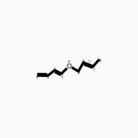 C=CC=COC/C=C/C